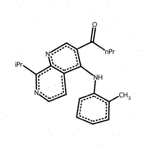 CCCC(=O)c1cnc2c(C(C)C)nccc2c1Nc1ccccc1C